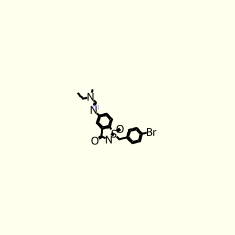 CCN(C)/C=N/c1ccc2c(c1)C(=O)N=S2(=O)Cc1ccc(Br)cc1